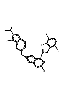 Cc1ccc(Cl)c(CNc2nc(O)nc3nn(Cc4ccc5nc(C(C)C)c(C)n5c4)cc23)c1F